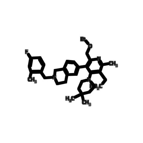 CCOCc1nc(C)c(CC(=O)O)c(N2CCC(C)(C)CC2)c1-c1ccc2c(c1)CCN(Cc1ccc(F)cc1C)C2